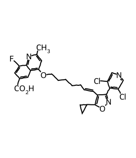 Cc1cc(OCCCCC/C=C/c2c(-c3c(Cl)cncc3Cl)noc2C2CC2)c2cc(C(=O)O)cc(F)c2n1